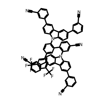 N#Cc1cccc(-c2ccc3c(c2)c2cc(-c4cccc(C#N)c4)ccc2n3-c2ccc(-c3cc(C(F)(F)F)cc(C(F)(F)F)c3)cc2-c2ccc(C#N)cc2-n2c3ccc(-c4cccc(C#N)c4)cc3c3cc(-c4cccc(C#N)c4)ccc32)c1